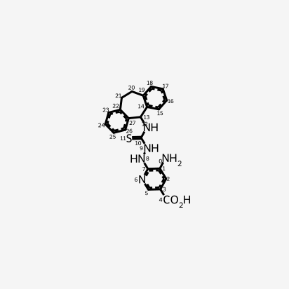 Nc1cc(C(=O)O)cnc1NNC(=S)NC1c2ccccc2CCc2ccccc21